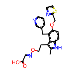 Cc1[nH]c2ccc(OCc3nccs3)c(Cc3cccnc3)c2c1CCON=CC(=O)O